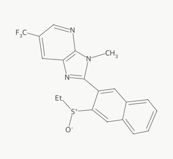 CC[S+]([O-])c1cc2ccccc2cc1-c1nc2cc(C(F)(F)F)cnc2n1C